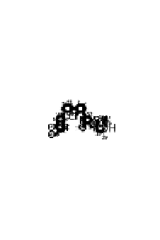 COc1nc(-c2cccc(-c3cccc(-c4ccn5c(=O)c(C=O)cnc5c4)c3Cl)c2Cl)ccc1CN(C[C@@H](C)O)C(=O)OC(C)(C)C